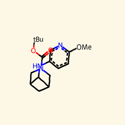 COc1ccc(NC2C3CC2CN(C(=O)OC(C)(C)C)C3)cn1